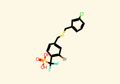 O=P(O)(O)C(F)(F)c1ccc(CSCc2cccc(Cl)c2)cc1Br